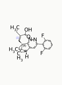 CC/C(=C/[C@@]12CC[C@@H](c3cc(-c4c(F)cccc4F)nnc31)C2(C)C)C(=O)O